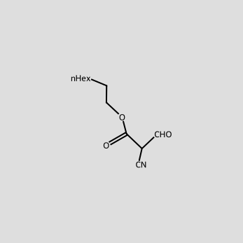 CCCCCCCCOC(=O)C(C#N)C=O